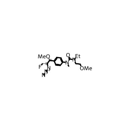 CCN(CCOC)C(=O)N(C)c1ccc([C@@H](OC)[C@@H](CF)N=[N+]=[N-])cc1